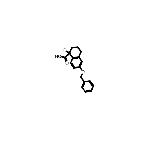 O=C(O)C1(F)CCCc2cc(OCc3ccccc3)ccc21